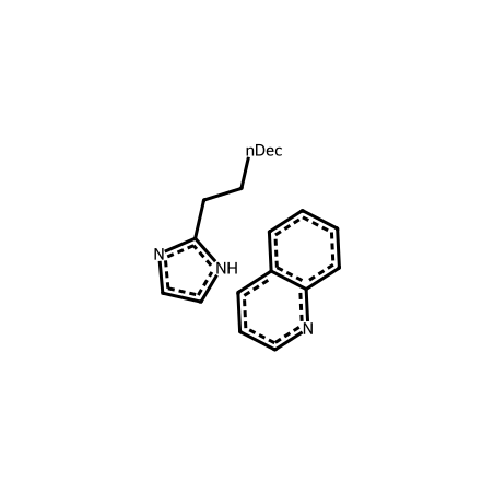 CCCCCCCCCCCCc1ncc[nH]1.c1ccc2ncccc2c1